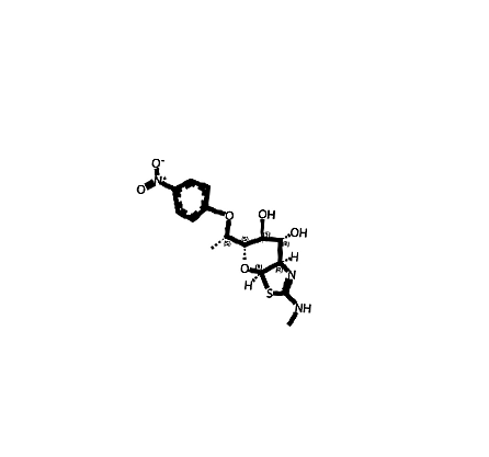 CNC1=N[C@@H]2[C@@H](O)[C@H](O)[C@@H]([C@H](C)Oc3ccc([N+](=O)[O-])cc3)O[C@@H]2S1